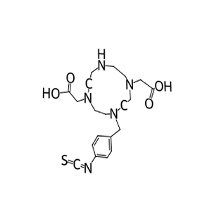 O=C(O)CN1CCNCCN(CC(=O)O)CCN(Cc2ccc(N=C=S)cc2)CC1